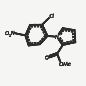 COC(=O)c1cccn1-c1ccc([N+](=O)[O-])cc1Cl